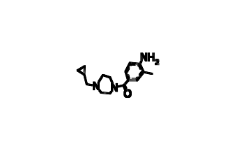 Cc1cc(C(=O)N2CCN(CC3CC3)CC2)ccc1N